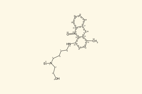 CCN(CCO)CCCCNc1ccc(C)c2sc3ccccc3c(=O)c12